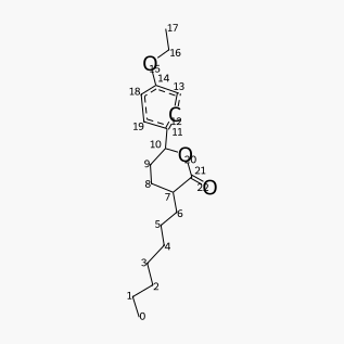 CCCCCCCC1CCC(c2ccc(OCC)cc2)OC1=O